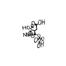 O=C(O)CC(C(=O)OS(=O)(=O)O)S(=O)(=O)O.[NaH].[NaH]